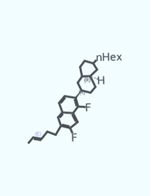 C/C=C/CCc1cc2ccc([C@@H]3CC[C@@H]4CC(CCCCCC)CCC4C3)c(F)c2cc1F